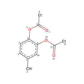 [CH]c1ccc(OC(=O)CC)c(OC(=O)CC)c1